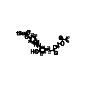 C=C(C)C(=O)OCCOC(=O)CCc1ccc(O)c(-n2n3c4ccc(OC(=O)C(C)(C)C)cc4n23)c1